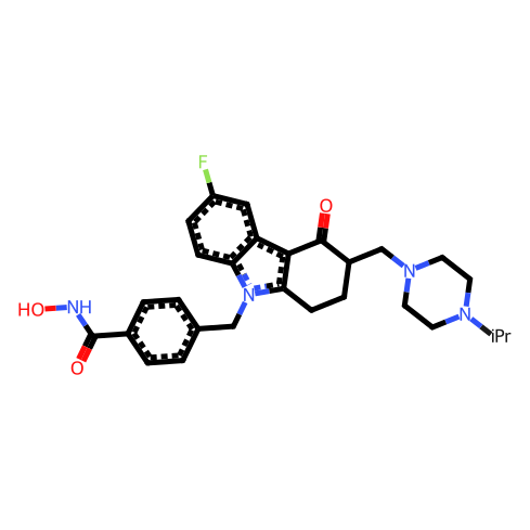 CC(C)N1CCN(CC2CCc3c(c4cc(F)ccc4n3Cc3ccc(C(=O)NO)cc3)C2=O)CC1